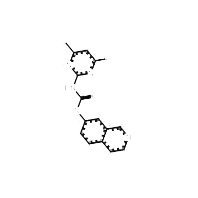 Cc1cc(Cl)nc(NC(=O)Nc2ccc3ccncc3c2)n1